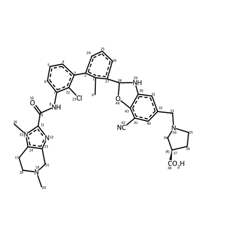 Cc1c(-c2cccc(NC(=O)c3nc4c(n3C)CCN(C)C4)c2Cl)cccc1C1Nc2cc(CN3CC[C@@H](C(=O)O)C3)cc(C#N)c2O1